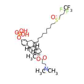 CN(C)CCC(=O)O[C@H]1CC[C@H]2[C@@H]3[C@H](CCCCCCCCC[S+]([O-])CCCC(F)(F)C(F)(F)F)Cc4cc(OP(=O)(O)O)ccc4[C@H]3CC[C@]12C